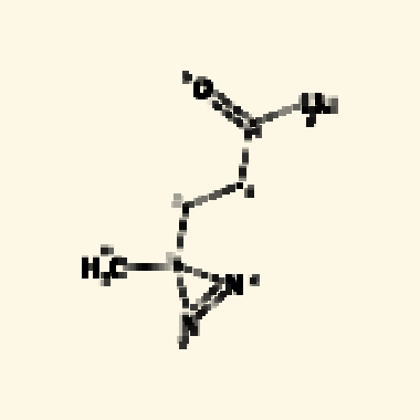 CC1(CCC(=O)C(C)(C)C)N=N1